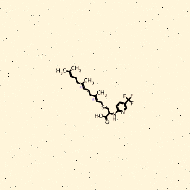 CC(C)=CCC/C(C)=C/CC/C(C)=C/CSCC(Nc1ccc(C(F)(F)F)cn1)C(=O)O